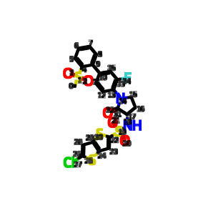 CS(=O)(=O)c1ccccc1-c1ccc(N2CC[C@H](NS(=O)(=O)c3cc4sc(Cl)cc4s3)C2=O)c(F)c1